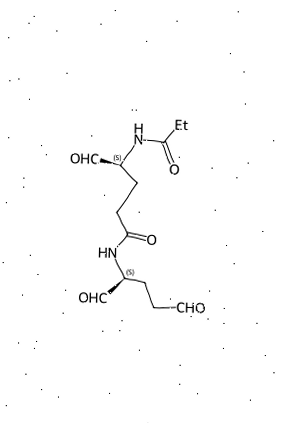 CCC(=O)N[C@H](C=O)CCC(=O)N[C@H](C=O)CCC=O